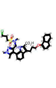 Cc1c(-c2cccc3c(CCCOc4cccc5ccccc45)c(C(=O)O)[nH]c23)c(CN(C)S(=O)(=O)CCCCl)nn1C